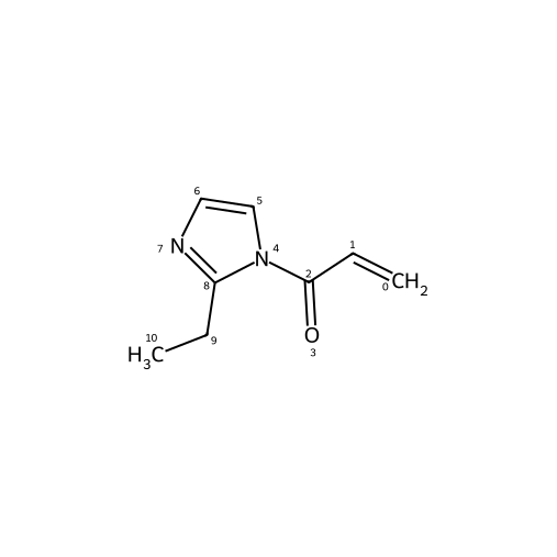 C=CC(=O)n1ccnc1CC